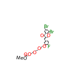 COC(=O)COCCOCCOCCOc1cc(/C=C2\COc3c(Br)cc(CBr)cc3C2=O)ccc1F